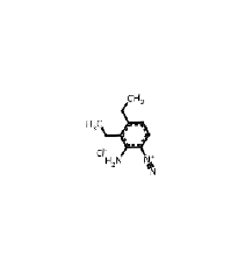 CCc1ccc([N+]#N)c(N)c1CC.[Cl-]